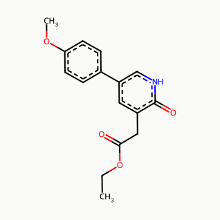 CCOC(=O)Cc1cc(-c2ccc(OC)cc2)c[nH]c1=O